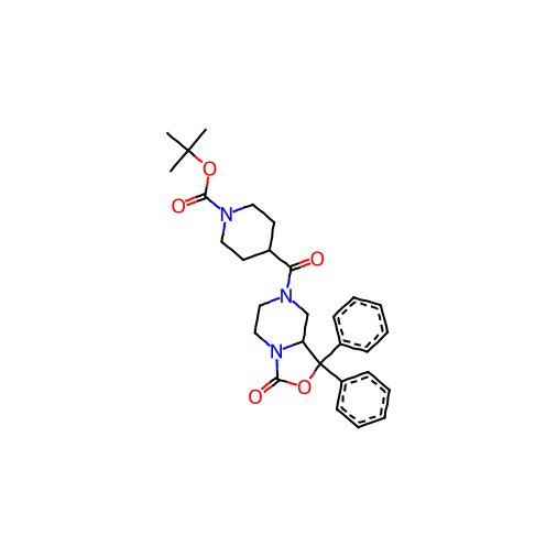 CC(C)(C)OC(=O)N1CCC(C(=O)N2CCN3C(=O)OC(c4ccccc4)(c4ccccc4)C3C2)CC1